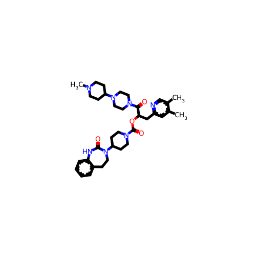 Cc1cnc(CC(OC(=O)N2CCC(N3CCc4ccccc4NC3=O)CC2)C(=O)N2CCN(C3CCN(C)CC3)CC2)cc1C